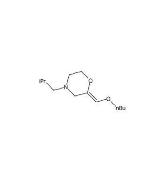 CCCCO/C=C1/CN(CC(C)C)CCO1